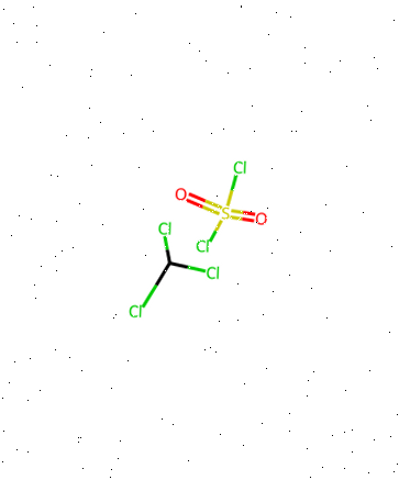 ClC(Cl)Cl.O=S(=O)(Cl)Cl